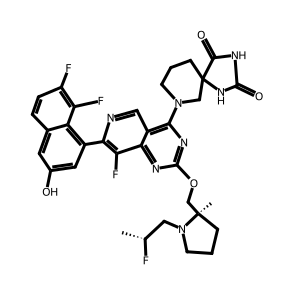 C[C@@H](F)CN1CCC[C@]1(C)COc1nc(N2CCCC3(C2)NC(=O)NC3=O)c2cnc(-c3cc(O)cc4ccc(F)c(F)c34)c(F)c2n1